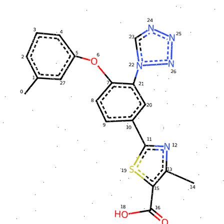 Cc1cccc(Oc2ccc(-c3nc(C)c(C(=O)O)s3)cc2-n2cnnn2)c1